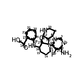 Nc1ncnc([N+]2([C@@H]3CCCNC3)CCCC(Nc3ccccc3C(=O)O)C2=O)c1F